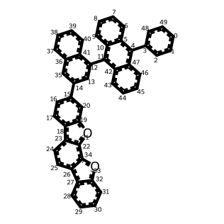 c1ccc(-c2c3ccccc3c(-c3cc(-c4ccc5c(c4)oc4c5ccc5c6ccccc6oc54)cc4ccccc34)c3ccccc23)cc1